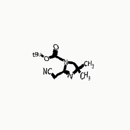 CC1(C)CN(C(=O)OC(C)(C)C)C(CC#N)=N1